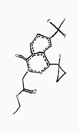 CCOC(=O)Cn1nc(C2(F)CC2)c2cc(C(F)(F)F)ccc2c1=O